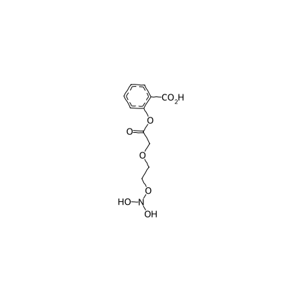 O=C(COCCON(O)O)Oc1ccccc1C(=O)O